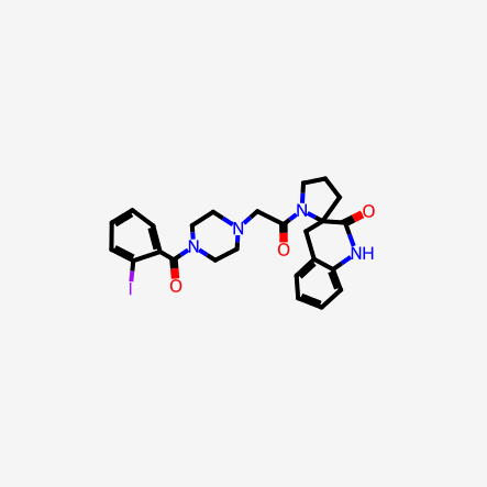 O=C(c1ccccc1I)N1CCN(CC(=O)N2CCCC23Cc2ccccc2NC3=O)CC1